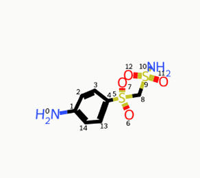 Nc1ccc(S(=O)(=O)CS(N)(=O)=O)cc1